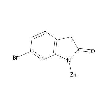 O=C1Cc2ccc(Br)cc2[N]1[Zn]